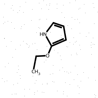 CCOc1ccc[nH]1